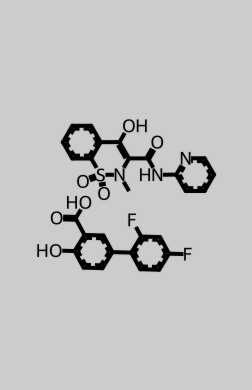 CN1C(C(=O)Nc2ccccn2)=C(O)c2ccccc2S1(=O)=O.O=C(O)c1cc(-c2ccc(F)cc2F)ccc1O